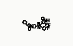 Cn1c(C2CCN(C(=O)OCc3ccccc3)CC2)nc(-c2cccc(C(F)(F)F)c2)c1-c1cc[nH]c(=O)c1